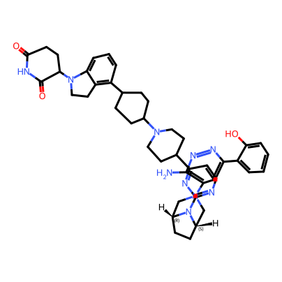 Nc1nnc(-c2ccccc2O)cc1N1C[C@H]2CC[C@@H](C1)N2c1nccc(C2CCN(C3CCC(c4cccc5c4CCN5C4CCC(=O)NC4=O)CC3)CC2)n1